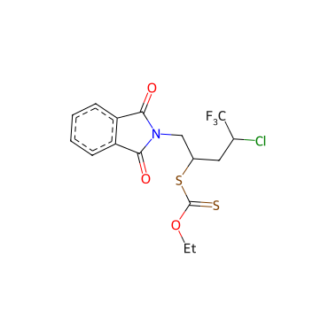 CCOC(=S)SC(CC(Cl)C(F)(F)F)CN1C(=O)c2ccccc2C1=O